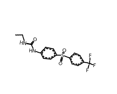 CCNC(=O)Nc1ccc(S(=O)(=O)c2ccc(C(F)(F)F)cc2)cc1